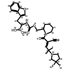 CC(C)(C=C(C#N)C(=O)N1CCCCC1COC(=O)NC(Cc1coc2ccccc12)B(O)O)N1CCC(F)(F)C1